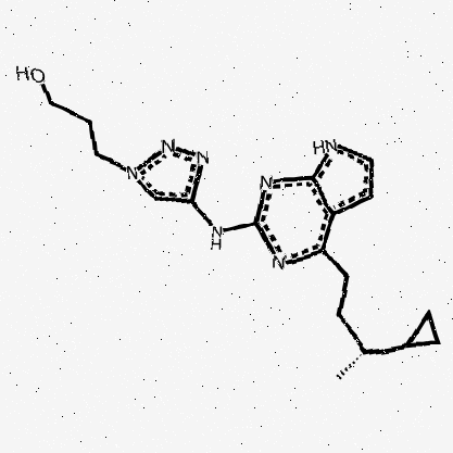 C[C@H](CCc1nc(Nc2cn(CCCO)nn2)nc2[nH]ccc12)C1CC1